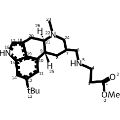 COC(=O)CCNCC1C[C@@H]2c3cc(C(C)(C)C)cc4[nH]cc(c34)C[C@H]2N(C)C1